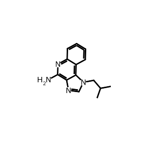 CC(C)Cn1cnc2c(N)nc3c(c21)C=C=C=C3